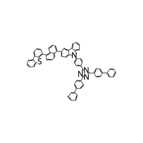 c1ccc(-c2ccc(-c3nc(-c4ccc(-c5ccccc5)cc4)nc(-c4ccc(-n5c6ccccc6c6cc(-c7cccc8c(-c9cccc%10c9sc9ccccc9%10)cccc78)ccc65)cc4)n3)cc2)cc1